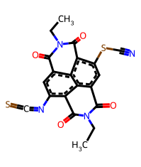 CCN1C(=O)c2cc(SC#N)c3c4c(cc(N=C=S)c(c24)C1=O)C(=O)N(CC)C3=O